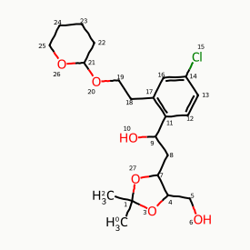 CC1(C)OC(CO)C(CC(O)c2ccc(Cl)cc2CCOC2CCCCO2)O1